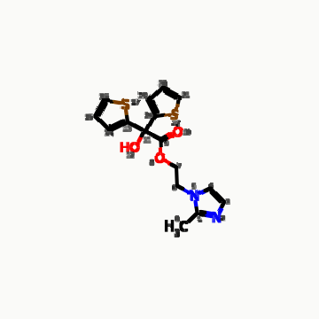 Cc1nccn1CCOC(=O)C(O)(c1cccs1)c1cccs1